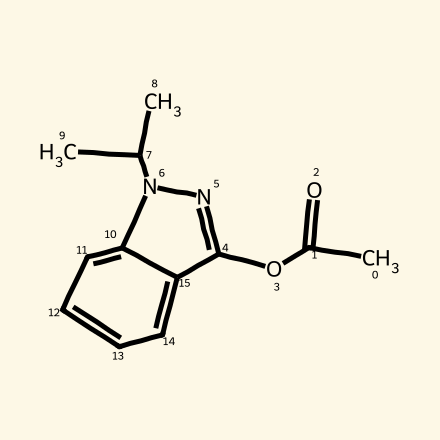 CC(=O)Oc1nn(C(C)C)c2ccccc12